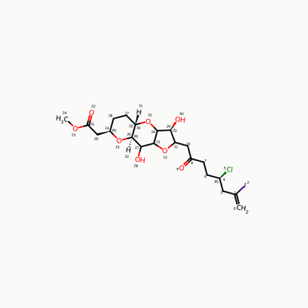 C=C(I)C[C@H](Cl)CCC(=O)CC1OC2C(O[C@H]3CC[C@H](CC(=O)OC)O[C@@H]3C2O)[C@H]1O